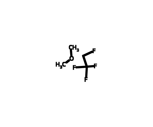 COC.FCC(F)(F)F